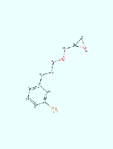 Pc1cccc(CCCOCC2CO2)c1